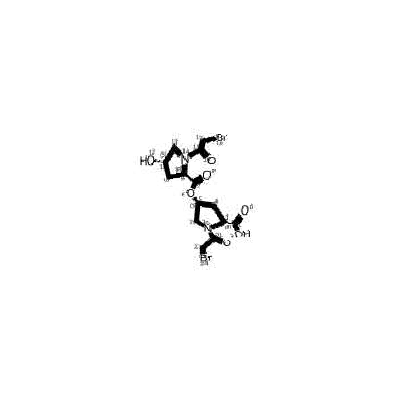 O=C(O)[C@H]1C[C@H](OC(=O)[C@H]2C[C@H](O)CN2C(=O)CBr)CN1C(=O)CBr